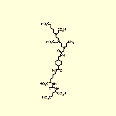 NCCN(CCN(CCN(CCCCC(=O)O)CC(=O)O)CC(=O)O)CC(=O)NCC1CCC(C(=O)NCCCCC(NC(=O)NC(CCC(=O)O)C(=O)O)C(=O)O)CC1